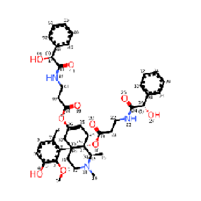 COc1c(O)ccc(C)c1[C@]12CCN(C)[C@H](C)[C@]1(OC(=O)CCNC(=O)[C@@H](O)c1ccccc1)CC=C(OC(=O)CCNC(=O)[C@@H](O)c1ccccc1)C2